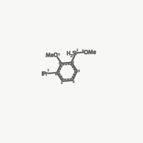 CO[SiH2]c1cccc(C(C)C)c1OC